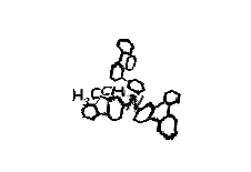 CC1(C)c2ccccc2-c2ccc(N(c3cccc(-c4cccc5c4oc4ccccc45)c3)c3ccc4c5ccccc5c5ccccc5c4c3)cc21